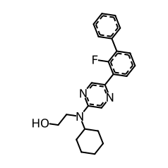 OCCN(c1cnc(-c2cccc(-c3ccccc3)c2F)cn1)C1CCCCC1